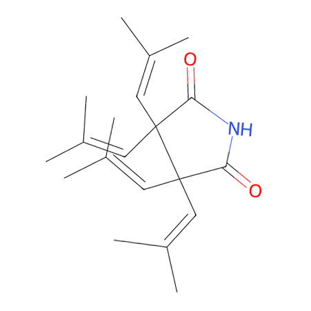 CC(C)=CC1(C=C(C)C)C(=O)NC(=O)C1(C=C(C)C)C=C(C)C